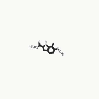 CCCCOC(=O)C1Cc2ccc(N=C=S)c(C)c2N1